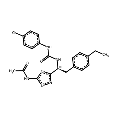 CCc1ccc(C[C@H](NC(=O)Nc2ccc(Cl)cc2)c2nnc(NC(C)=O)o2)cc1